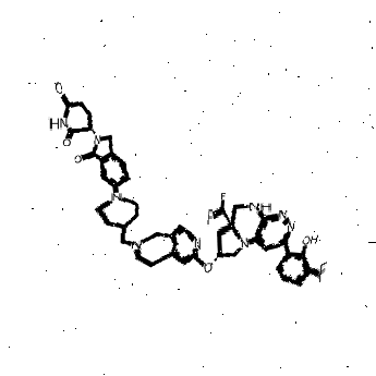 O=C1CC[C@H](N2Cc3ccc(N4CCC(CN5CCc6cc(O[C@H]7CN8c9cc(-c%10cccc(F)c%10O)nnc9NC[C@@]8(C(F)F)C7)ncc6C5)CC4)cc3C2=O)C(=O)N1